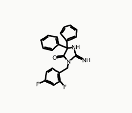 N=C1NC(c2ccccc2)(c2ccccc2)C(=O)N1Cc1ccc(F)cc1F